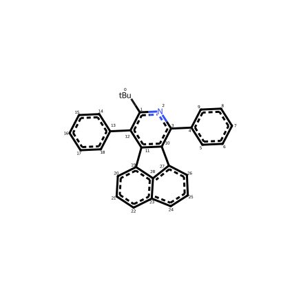 CC(C)(C)c1nc(-c2ccccc2)c2c(c1-c1ccccc1)-c1cccc3cccc-2c13